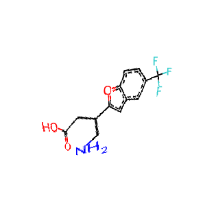 NCC(CC(=O)O)c1cc2cc(C(F)(F)F)ccc2o1